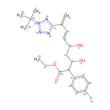 C=C(C=CC(O)CC(O)C(C(=O)OCC)c1ccc(F)cc1)c1nnn(C(C)(C)C)n1